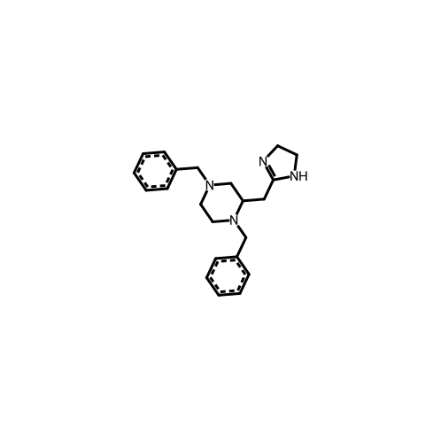 c1ccc(CN2CCN(Cc3ccccc3)C(CC3=NCCN3)C2)cc1